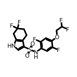 O=S(=O)(Nc1cc(F)c(OCC(F)F)cc1F)c1c[nH]c2c1CCC(F)(F)C2